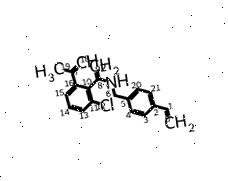 C=Cc1ccc(CNC(=C)c2c(Cl)cccc2C(=C)C)cc1